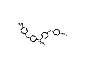 C[C@@H](c1ccc(Cc2ccc(N)cc2)cc1)c1ccc(Oc2ccc(N)cc2)cc1